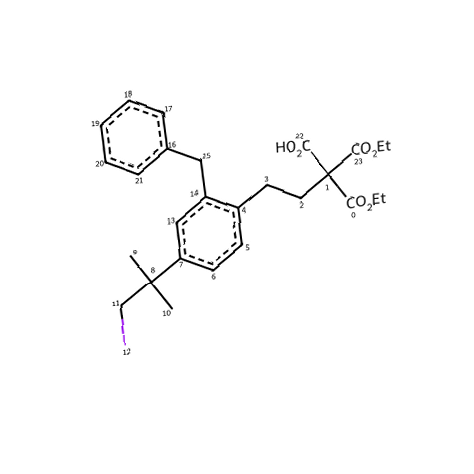 CCOC(=O)C(CCc1ccc(C(C)(C)CI)cc1Cc1ccccc1)(C(=O)O)C(=O)OCC